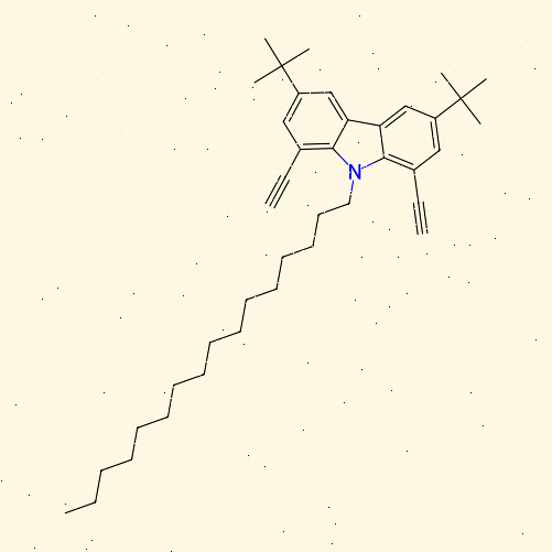 C#Cc1cc(C(C)(C)C)cc2c3cc(C(C)(C)C)cc(C#C)c3n(CCCCCCCCCCCCCCCC)c12